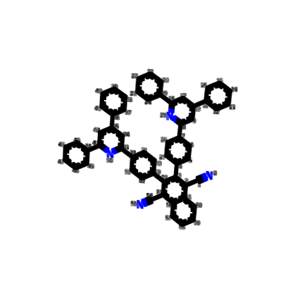 N#Cc1c(-c2ccc(-c3cc(-c4ccccc4)cc(-c4ccccc4)n3)cc2)c(-c2ccc(-c3cc(-c4ccccc4)cc(-c4ccccc4)n3)cc2)c(C#N)c2ccccc12